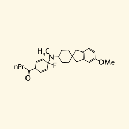 CCCC(=O)C1C=CC(F)(N(C)C2CCC3(CC2)Cc2ccc(OC)cc2C3)C=C1